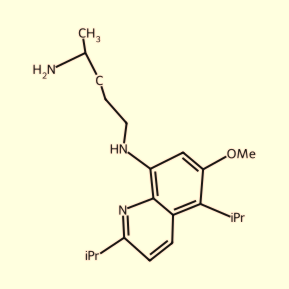 COc1cc(NCCCC(C)N)c2nc(C(C)C)ccc2c1C(C)C